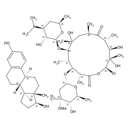 CC[C@H]1OC(=O)[C@H](C)[C@@H](O[C@H]2C[C@@](C)(OC)[C@@H](O)[C@H](C)O2)[C@H](C)[C@@H](O[C@@H]2O[C@H](C)C[C@H](N(C)C)[C@H]2O)[C@](C)(O)C[C@@H](C)C(=O)[C@H](C)[C@@H](O)[C@]1(C)O.C[C@]12CC[C@@H]3c4ccc(O)cc4CC[C@H]3[C@@H]1CC[C@@H]2O